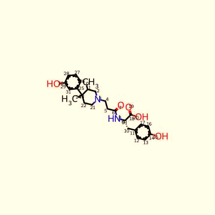 CC1CN(CCC(=O)N[C@@H](Cc2ccc(O)cc2)C(=O)O)CCC1(C)c1cccc(O)c1